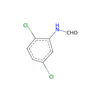 O=[C]Nc1cc(Cl)ccc1Cl